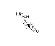 COc1ccc(CN2C(=O)CCc3c(OCC4(O)CCNCC4)ccc(F)c32)cc1